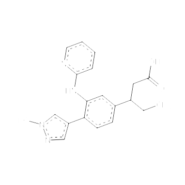 CCC(CC(=O)O)c1ccc(-c2cnn(C)c2)c(Nc2ccccn2)c1